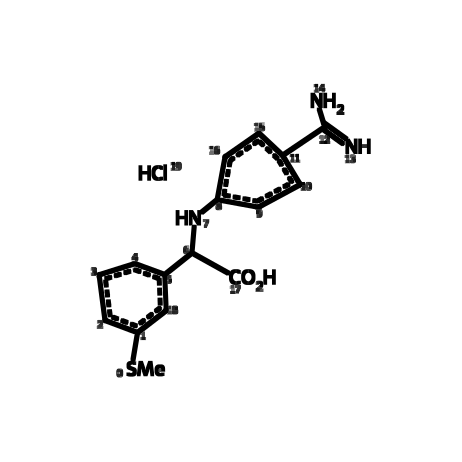 CSc1cccc(C(Nc2ccc(C(=N)N)cc2)C(=O)O)c1.Cl